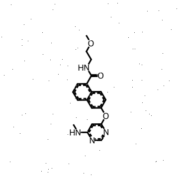 CNc1cc(Oc2ccc3c(C(=O)NCCOC)cccc3c2)ncn1